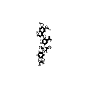 COc1cc2nccc(Oc3ccc(N4C(=O)CN(c5cccc(OC(F)(F)F)c5)C4=O)cc3C(C)C)c2cc1OC